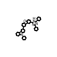 c1ccc(C2=NC(c3ccccc3)NC(c3ccc4oc5ccc(-c6ccc7c(c6)c6ccccc6n7-c6ccccc6)cc5c4c3)=N2)cc1